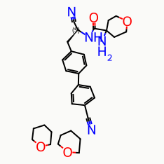 C1CCOCC1.C1CCOCC1.N#Cc1ccc(-c2ccc(C[C@@H](C#N)NC(=O)C3(N)CCOCC3)cc2)cc1